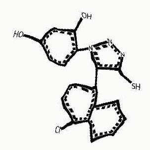 Oc1ccc(-n2nnc(S)c2-c2ccc(Cl)c3ccccc23)c(O)c1